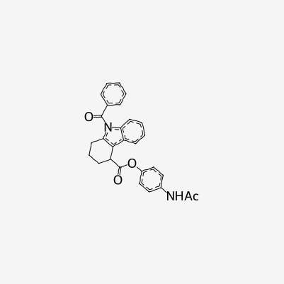 CC(=O)Nc1ccc(OC(=O)C2CCCc3c2c2ccccc2n3C(=O)c2ccccc2)cc1